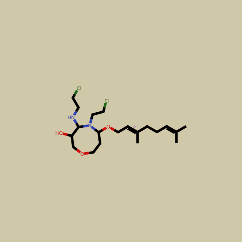 CC(C)=CCC/C(C)=C/COC1CCOCC(O)C(NCCCl)N1CCCl